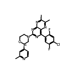 Cc1cc([C@@H]2CN(c3nc(-c4cc(F)c(Cl)cc4F)c4nc(C)c(C)nc4n3)CCO2)ccn1